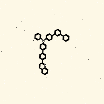 c1ccc(-c2cccc(-c3ccc(N(c4ccccc4)c4ccc(-c5ccc(-c6ccc7ccccc7c6)cc5)cc4)cc3)c2)cc1